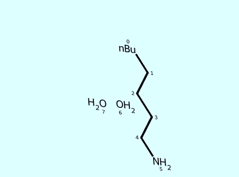 CCCCCCCCN.O.O